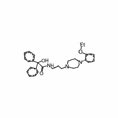 CCOc1ccccc1N1CCN(CCCNC(=O)C(O)(c2ccccc2)c2ccccc2)CC1